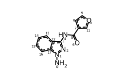 Nn1nc(NC(=O)c2ccoc2)c2ccccc21